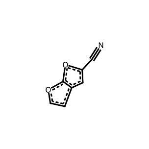 N#Cc1cc2ccoc2o1